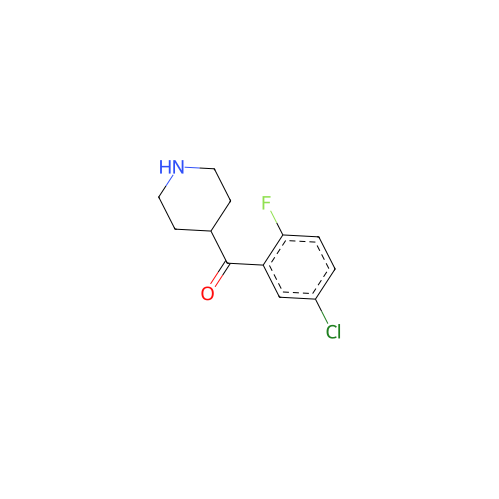 O=C(c1cc(Cl)ccc1F)C1CCNCC1